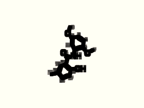 COc1ccc(OC)c(NC(=O)c2cc(C)ccc2O)c1